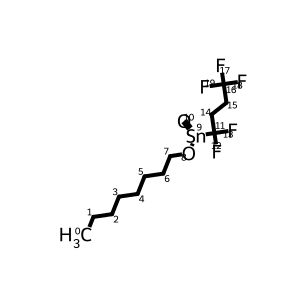 CCCCCCCC[O][Sn](=[O])[C](F)(F)CCC(F)(F)F